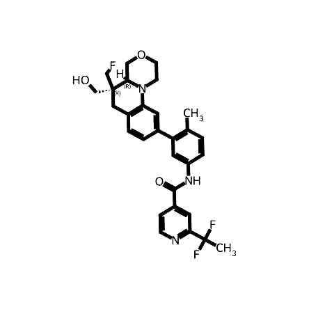 Cc1ccc(NC(=O)c2ccnc(C(C)(F)F)c2)cc1-c1ccc2c(c1)N1CCOC[C@H]1[C@](CO)(CF)C2